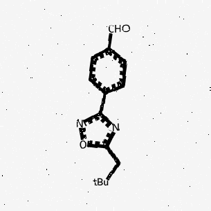 CC(C)(C)Cc1nc(-c2ccc(C=O)cc2)no1